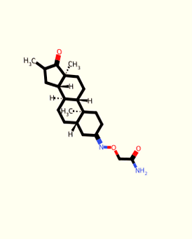 CC1C[C@H]2[C@@H]3CC[C@H]4C/C(=N/OCC(N)=O)CC[C@]4(C)[C@H]3CC[C@]2(C)C1=O